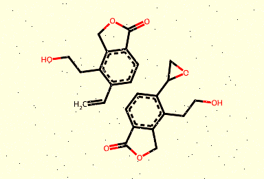 C=Cc1ccc2c(c1CCO)COC2=O.O=C1OCc2c1ccc(C1CO1)c2CCO